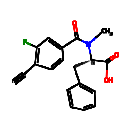 [C]#Cc1ccc(C(=O)N(C)[C@@H](Cc2ccccc2)C(=O)O)cc1F